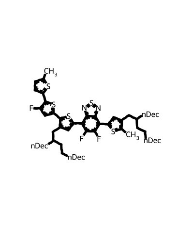 CCCCCCCCCCCCC(CCCCCCCCCC)Cc1cc(-c2c(F)c(F)c(-c3cc(CC(CCCCCCCCCC)CCCCCCCCCCCC)c(-c4cc(F)c(-c5ccc(C)s5)s4)s3)c3nsnc23)sc1C